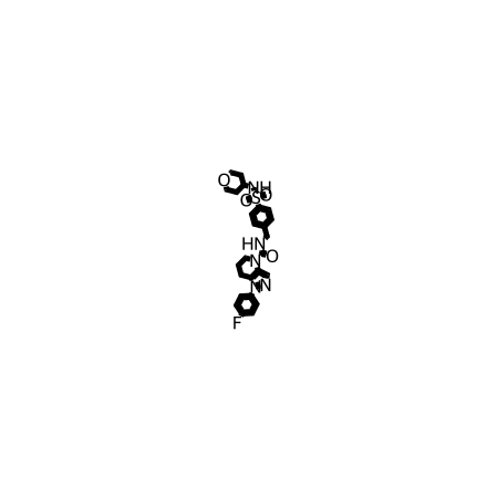 O=C(NCc1ccc(S(=O)(=O)NC2CCOCC2)cc1)N1CCCc2c1cnn2-c1ccc(F)cc1